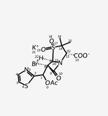 CC(=O)OC(c1nccs1)[C@]1(Br)C(=O)N2[C@@H](C(=O)[O-])C(C)(C)S(=O)(=O)[C@@H]21.[K+]